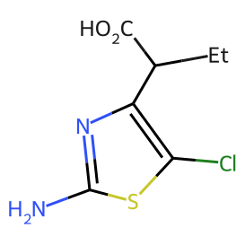 CCC(C(=O)O)c1nc(N)sc1Cl